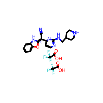 N#C/C(=C1\Nc2ccccc2O1)c1ccnc(NCC2CCNCC2)n1.O=C(O)C(F)(F)F.O=C(O)C(F)(F)F